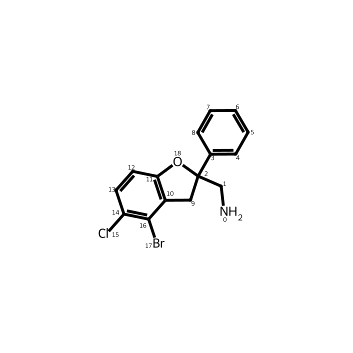 NCC1(c2ccccc2)Cc2c(ccc(Cl)c2Br)O1